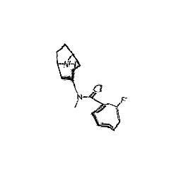 CN(C(=O)c1ccccc1F)C1CC2CCC(C1)N2